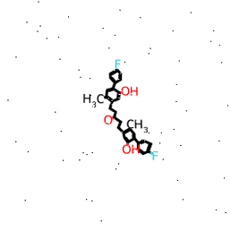 Cc1cc(-c2ccc(F)cc2)c(O)cc1CCC(=O)CCc1cc(O)c(-c2ccc(F)cc2)cc1C